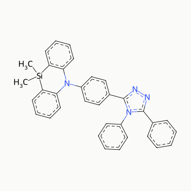 C[Si]1(C)c2ccccc2N(c2ccc(-c3nnc(-c4ccccc4)n3-c3ccccc3)cc2)c2ccccc21